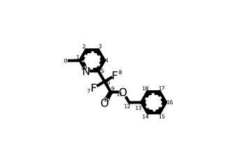 Cc1cccc(C(F)(F)C(=O)OCc2ccccc2)n1